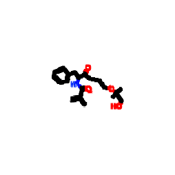 C=C(C)C(=O)NC(Cc1ccccc1)C(=O)CCCOC(C)(C)CO